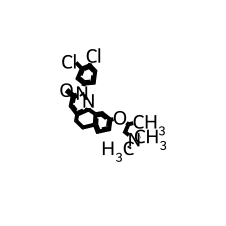 CC(CN(C)C)Oc1ccc2c(c1)-c1nn(-c3ccc(Cl)c(Cl)c3)c(=O)cc1CC2